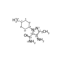 Cc1nn(C2CCC(C)CC2)c(C(N)=O)c1N